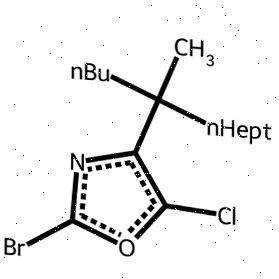 CCCCCCCC(C)(CCCC)c1nc(Br)oc1Cl